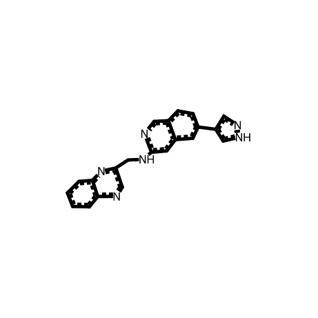 c1ccc2nc(CNc3cc4cc(-c5cn[nH]c5)ccc4cn3)cnc2c1